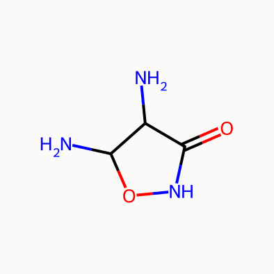 NC1ONC(=O)C1N